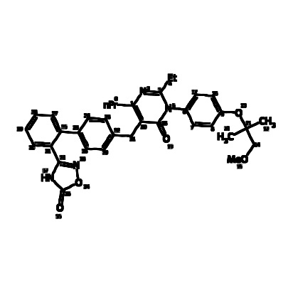 CCCc1nc(CC)n(-c2ccc(OC(C)(C)COC)cc2)c(=O)c1Cc1ccc(-c2ccccc2-c2noc(=O)[nH]2)cc1